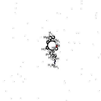 CCn1c(-c2cccnc2[C@H](C)OC)c2c3cc(ccc31)-c1cc(O)cc(c1)C[C@H](NC(=O)[C@H](C(C)C)N(C)C(=O)c1ncc(NC(=O)/C=C/CN(C)C)n1C)C(=O)N1CCC[C@@](O)(N1)C(=O)OCC(C)(C)C2